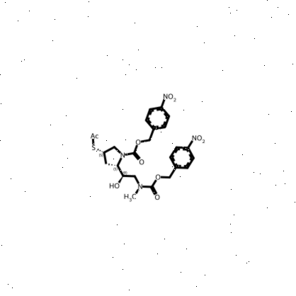 CC(=O)S[C@H]1C[C@@H]([C@H](O)CN(C)C(=O)OCc2ccc([N+](=O)[O-])cc2)N(C(=O)OCc2ccc([N+](=O)[O-])cc2)C1